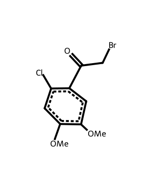 COc1cc(Cl)c(C(=O)CBr)cc1OC